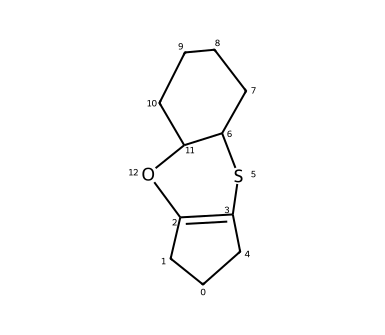 C1CC2=C(C1)SC1CCCCC1O2